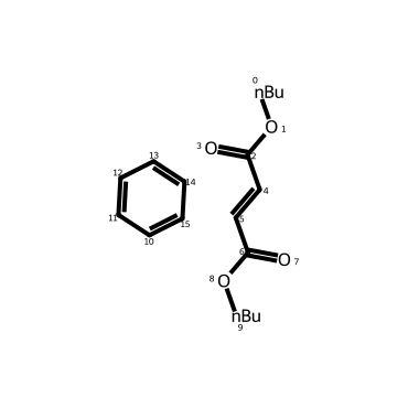 CCCCOC(=O)/C=C/C(=O)OCCCC.c1ccccc1